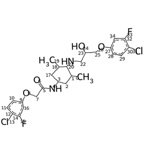 CC1CC(NC(=O)COc2ccc(Cl)c(F)c2)CC(C)C1NCC(O)COc1ccc(Cl)c(F)c1